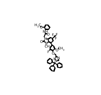 COc1ccccc1NC(=O)Cn1c(=O)n(C)c2c(-c3cc(F)c(OCc4ncn(C(c5ccccc5)(c5ccccc5)c5ccccc5)n4)c(OC)c3)cc(C(F)(F)F)cc21